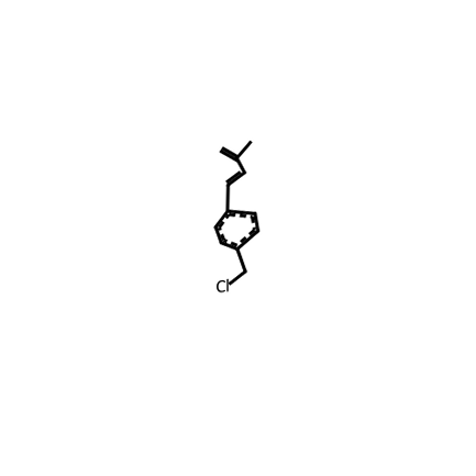 C=C(C)C=Cc1ccc(CCl)cc1